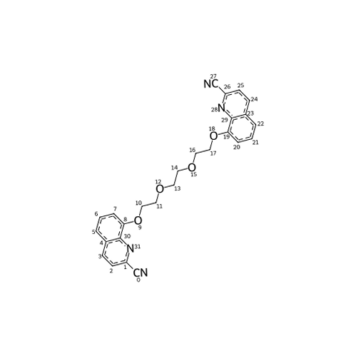 N#Cc1ccc2cccc(OCCOCCOCCOc3cccc4ccc(C#N)nc34)c2n1